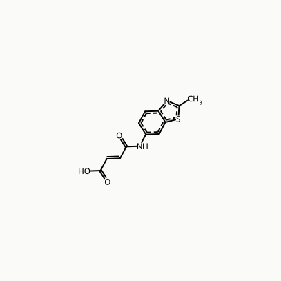 Cc1nc2ccc(NC(=O)/C=C/C(=O)O)cc2s1